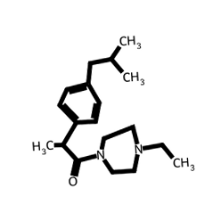 CCN1CCN(C(=O)C(C)c2ccc(CC(C)C)cc2)CC1